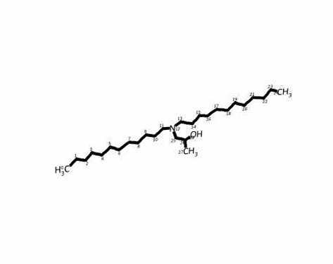 CCCCCCCCCCCCN(CCCCCCCCCCCC)CC(C)O